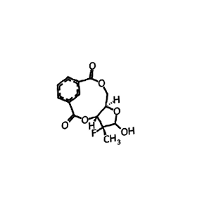 C[C@]1(F)C(O)O[C@@H]2COC(=O)c3cccc(c3)C(=O)O[C@H]21